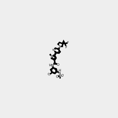 Cn1cc(C(=O)Nc2cc(Cl)cc(NS(C)(=O)=O)c2)cc1-c1ccc(N2CCC3(C2)CC3(F)F)cn1